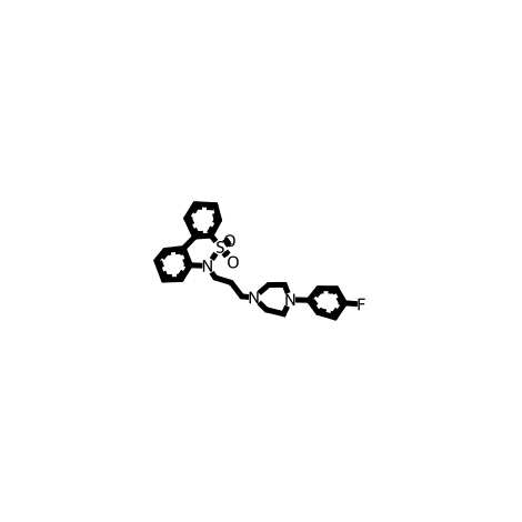 O=S1(=O)c2ccccc2-c2ccccc2N1CCCN1CCN(c2ccc(F)cc2)CC1